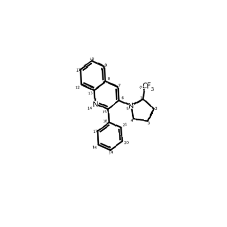 FC(F)(F)C1CCCN1c1cc2ccccc2nc1-c1ccccc1